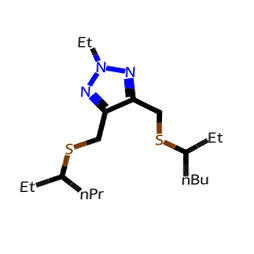 CCCCC(CC)SCc1nn(CC)nc1CSC(CC)CCC